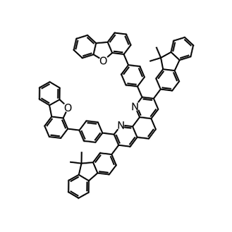 CC1(C)c2ccccc2-c2ccc(-c3cc4ccc5cc(-c6ccc7c(c6)C(C)(C)c6ccccc6-7)c(-c6ccc(-c7cccc8c7oc7ccccc78)cc6)nc5c4nc3-c3ccc(-c4cccc5c4oc4ccccc45)cc3)cc21